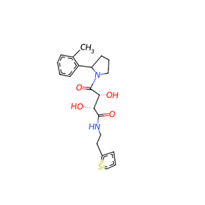 Cc1ccccc1C1CCCN1C(=O)[C@H](O)[C@@H](O)C(=O)NCCc1cccs1